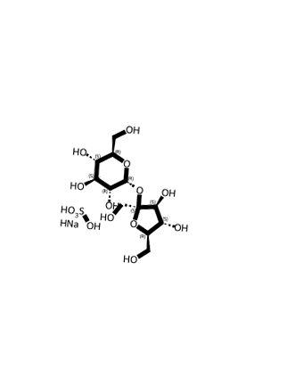 O=S(=O)(O)O.OC[C@H]1O[C@@](CO)(O[C@H]2O[C@H](CO)[C@@H](O)[C@H](O)[C@H]2O)[C@@H](O)[C@@H]1O.[NaH]